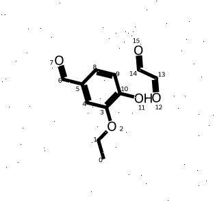 CCOc1cc(C=O)ccc1O.O=CC=O